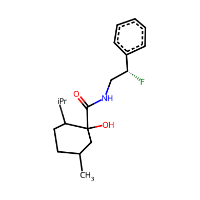 CC1CCC(C(C)C)C(O)(C(=O)NC[C@@H](F)c2ccccc2)C1